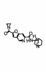 O=C(N[C@H]1CN2CCC1CC2)c1cc2oc(C(=O)N3CC3)cc2cn1